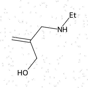 C=C(CO)CNCC